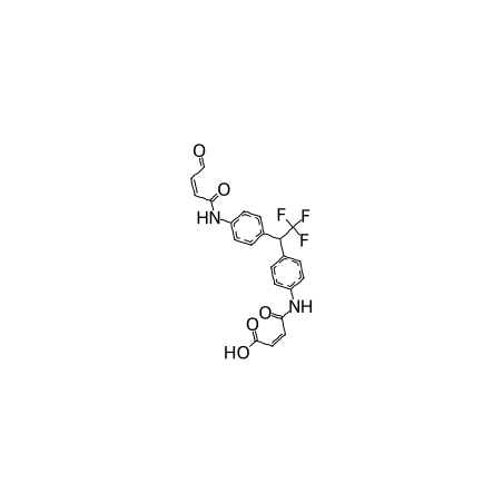 O=C/C=C\C(=O)Nc1ccc(C(c2ccc(NC(=O)/C=C\C(=O)O)cc2)C(F)(F)F)cc1